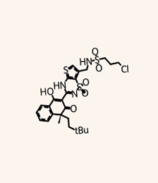 CC(C)(C)CC[C@@]1(C)C(=O)C(C2=NS(=O)(=O)c3c(CNS(=O)(=O)CCCCl)csc3N2)=C(O)c2ccccc21